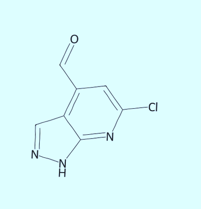 O=Cc1cc(Cl)nc2[nH]ncc12